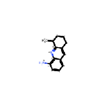 CC1CCCc2cc3cccc(N)c3nc21